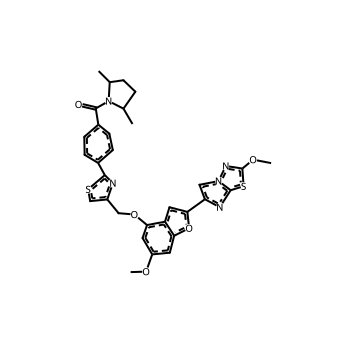 COc1cc(OCc2csc(-c3ccc(C(=O)N4C(C)CCC4C)cc3)n2)c2cc(-c3cn4nc(OC)sc4n3)oc2c1